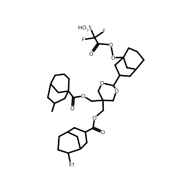 CCC1CCC2CC(C(=O)OCC3(COC(=O)C45CCCC(CC(C)C4)C5)COC(C4CC5CCCC(OOC(=O)C(F)(F)S(=O)(=O)O)(C5)C4)OC3)CC1C2